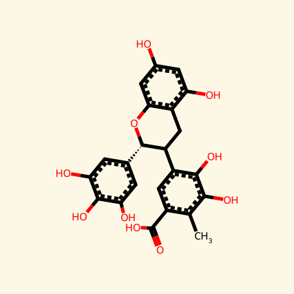 Cc1c(C(=O)O)cc(C2Cc3c(O)cc(O)cc3O[C@H]2c2cc(O)c(O)c(O)c2)c(O)c1O